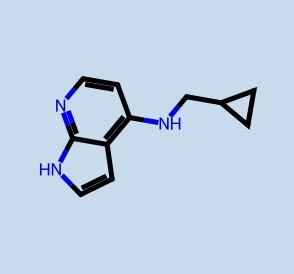 c1cc(NCC2CC2)c2cc[nH]c2n1